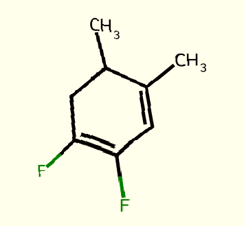 CC1=CC(F)=C(F)CC1C